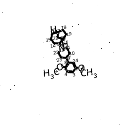 COc1ccc(OC)c(C2CCN(C3CCC[C@H]4CC[C@H]3C4)CC2)c1